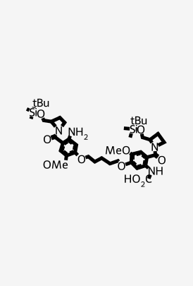 COc1cc(C(=O)N2CCC2CO[Si](C)(C)C(C)(C)C)c(N)cc1OCCCCCOc1cc(NC(=O)O)c(C(=O)N2CCC2CO[Si](C)(C)C(C)(C)C)cc1OC